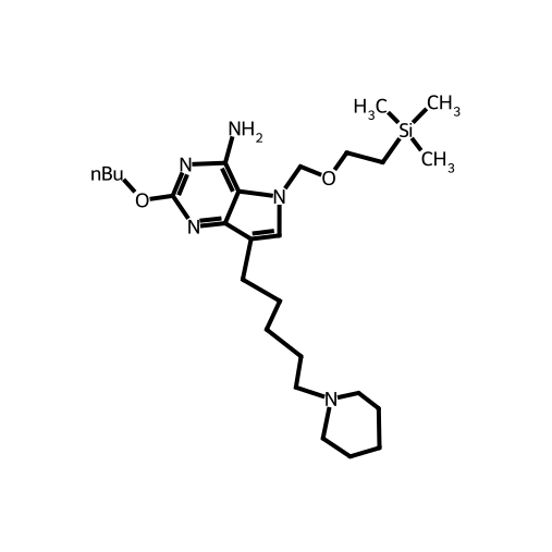 CCCCOc1nc(N)c2c(n1)c(CCCCCN1CCCCC1)cn2COCC[Si](C)(C)C